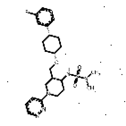 CN(C)S(=O)(=O)NC1CCN(c2cccnn2)CC1CO[C@H]1CC[C@@H](c2cccc(F)c2)CC1